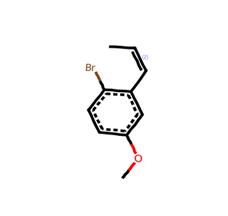 C/C=C\c1cc(OC)ccc1Br